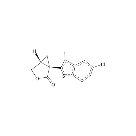 Cc1c([C@]23C[C@H]2COC3=O)sc2ccc(Cl)cc12